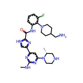 CNc1nc(-c2c[nH]c(C(=O)Nc3cccc(F)c3N3CCC(CN)CC3)n2)cc(N2CCNC[C@H]2C)n1